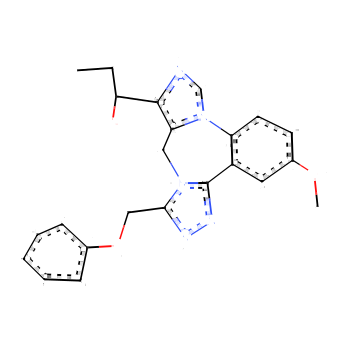 CCC(O)c1ncn2c1Cn1c(COc3ccccc3)nnc1-c1cc(OC)ccc1-2